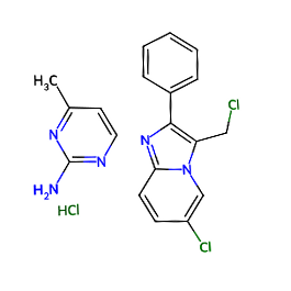 Cc1ccnc(N)n1.Cl.ClCc1c(-c2ccccc2)nc2ccc(Cl)cn12